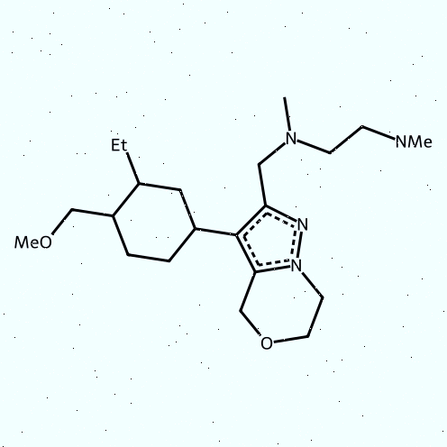 CCC1CC(c2c(CN(C)CCNC)nn3c2COCC3)CCC1COC